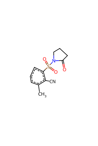 Cc1cccc(S(=O)(=O)N2CCCC2=O)c1C#N